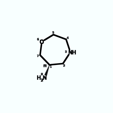 N[C@H]1CNCCOC1